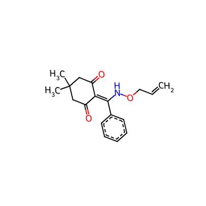 C=CCONC(=C1C(=O)CC(C)(C)CC1=O)c1ccccc1